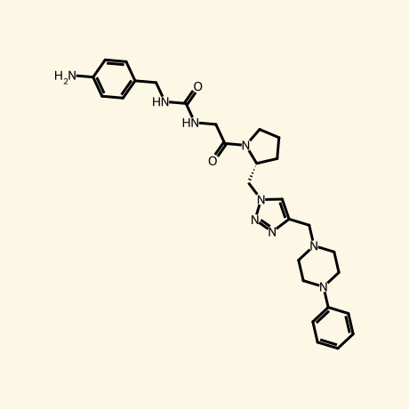 Nc1ccc(CNC(=O)NCC(=O)N2CCC[C@@H]2Cn2cc(CN3CCN(c4ccccc4)CC3)nn2)cc1